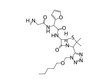 CCCCCOCn1nnnc1C1N2C(=O)C(NC(=O)C(NC(=O)CN)c3ccco3)[C@H]2SC1(C)C